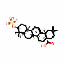 CC1(C)CC[C@]2(C(=O)O)CC[C@]3(C)C(=CCC4[C@@]5(C)CC[C@H](OS(=O)(=O)O)C(C)(C)[C@@H]5CC[C@]43C)[C@@H]2C1